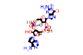 COC1C2OP(=O)(S)OC[C@H]3O[C@@H](n4ccc5c(N)ncnc54)C(O)C3OP(=O)(S)OC[C@H]1O[C@H]2n1cnc2c(=O)[nH]c(N)nc21